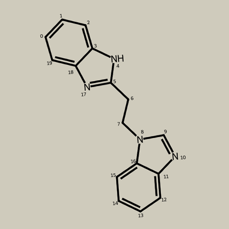 c1ccc2[nH]c(CCn3cnc4ccccc43)nc2c1